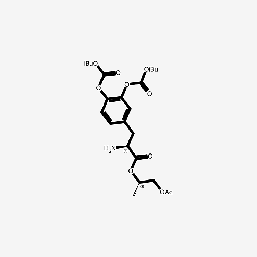 CC(=O)OC[C@H](C)OC(=O)[C@@H](N)Cc1ccc(OC(=O)OCC(C)C)c(OC(=O)OCC(C)C)c1